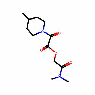 CC1CCN(C(=O)C(=O)OCC(=O)N(C)C)CC1